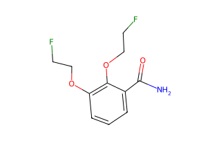 NC(=O)c1cccc(OCCF)c1OCCF